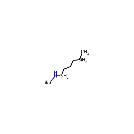 CCC(C)N[SiH2]CCC[SiH2]C